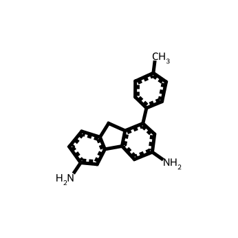 Cc1ccc(-c2cc(N)cc3c2Cc2ccc(N)cc2-3)cc1